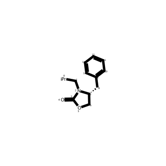 CC(C)CN1C(=O)OC[C@H]1Cc1ccccc1